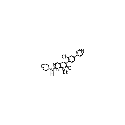 CCn1c(=O)c(-c2ccc(-c3ccncc3)cc2Cl)cc2cnc(NC3CCOCC3)nc21